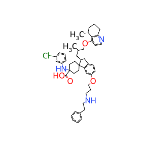 C[C@@H](COc1ccnc2c1[C@H](C)CCC2)C[C@H]1Cc2ccc(OCCCNCCc3ccccc3)cc2C12CCC(Nc1cccc(Cl)c1)(C(=O)O)CC2